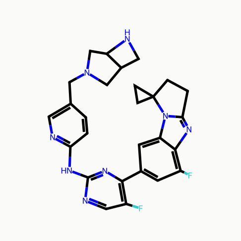 Fc1cnc(Nc2ccc(CN3CC4CNC4C3)cn2)nc1-c1cc(F)c2nc3n(c2c1)C1(CC3)CC1